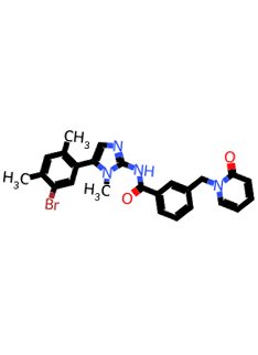 Cc1cc(C)c(-c2cnc(NC(=O)c3cccc(Cn4ccccc4=O)c3)n2C)cc1Br